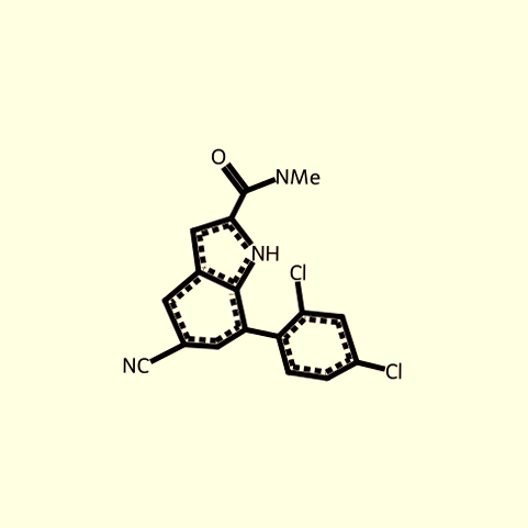 CNC(=O)c1cc2cc(C#N)cc(-c3ccc(Cl)cc3Cl)c2[nH]1